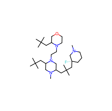 CN1CCC[C@@](F)(CC(C)(C)CC2CN(CCN3CCOCC3CC(C)(C)C)C(CC(C)(C)C)CN2C)C1